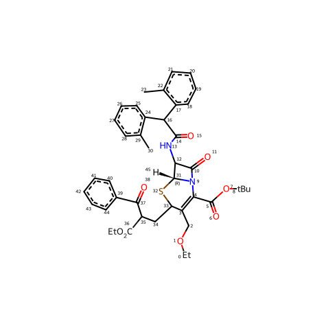 CCOCC1=C(C(=O)OC(C)(C)C)N2C(=O)C(NC(=O)C(c3ccccc3C)c3ccccc3C)[C@H]2SC1CC(C(=O)OCC)C(=O)c1ccccc1